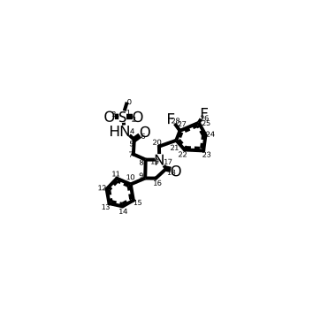 CS(=O)(=O)NC(=O)CC1C(c2ccccc2)CC(=O)N1Cc1cccc(F)c1F